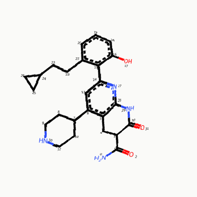 NC(=O)C1Cc2c(C3CCNCC3)cc(-c3c(O)cccc3CCC3CC3)nc2NC1=O